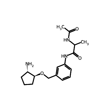 CC(=O)NC(C)C(=O)Nc1cccc(CO[C@H]2CCC[C@@H]2N)c1